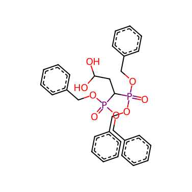 O=P(OCc1ccccc1)(OCc1ccccc1)C(CC(O)O)P(=O)(OCc1ccccc1)OCc1ccccc1